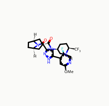 CCN1C[C@@H](NC(=O)[C@@H]2C[C@H]3CC[C@@H](C2)N3C(=O)c2cc(-c3cc(OC)ncc3F)[nH]n2)CC[C@H]1C(F)(F)F